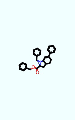 O=C(OCc1ccccc1)C1CC2CCC(c3ccccc3)=CC2N1Cc1ccccc1